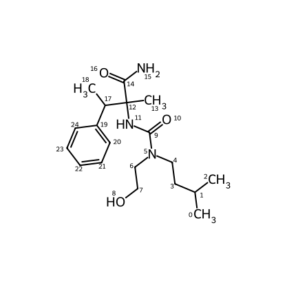 CC(C)CCN(CCO)C(=O)NC(C)(C(N)=O)C(C)c1ccccc1